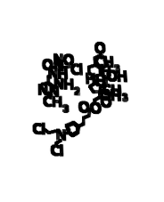 C[C@]12C=CC(=O)C=C1CC[C@@H]1[C@@H]2[C@@H](O)C[C@@]2(C)[C@H]1CC[C@]2(O)C(=O)COC(=O)CCCc1ccc(N(CCCl)CCCl)cc1.Cc1ncc(CNC(=O)N(CCCl)N=O)c(N)n1